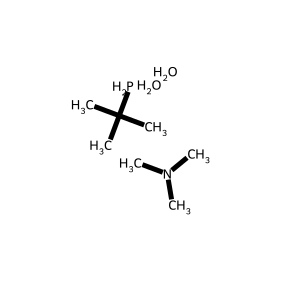 CC(C)(C)P.CN(C)C.O.O